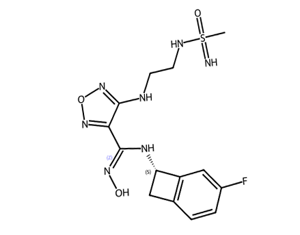 CS(=N)(=O)NCCNc1nonc1/C(=N/O)N[C@H]1Cc2ccc(F)cc21